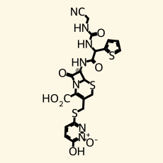 N#CCNC(=O)NC(C(=O)N[C@@H]1C(=O)N2C(C(=O)O)=C(CSc3ccc(O)[n+]([O-])n3)CSC12)c1cccs1